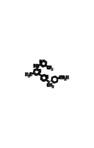 Cc1cc(Nc2cc(C(F)(F)F)ccn2)nc(-c2ccc(C(C)[C@H]3CC[C@H](C(=O)O)CC3)nc2)c1